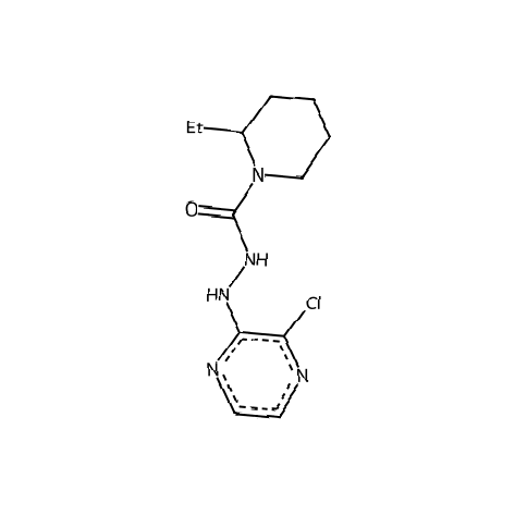 CCC1CCCCN1C(=O)NNc1nccnc1Cl